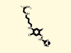 C[C@H](N)CNCCCCNc1cc(F)c(SNc2ncns2)cc1Cl